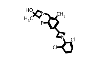 Cc1cc(C2CN(c3c(Cl)cccc3Cl)C2)cc(F)c1CN1CC(C)(O)C1